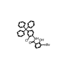 CCCCc1cccc(C(=O)Nc2ccc(C(c3ccccc3)(c3ccccc3)c3ccccc3)cc2Cl)c1O